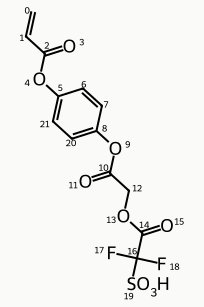 C=CC(=O)Oc1ccc(OC(=O)COC(=O)C(F)(F)S(=O)(=O)O)cc1